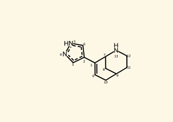 C1=C(c2cn[nH]c2)C2CC(C1)CCN2